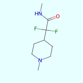 CNC(=O)C(F)(F)C1CCN(C)CC1